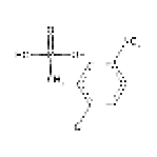 CP(=O)(O)O.O=[N+]([O-])c1ccc(O)cc1